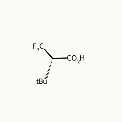 CC(C)(C)[C@@H](C(=O)O)C(F)(F)F